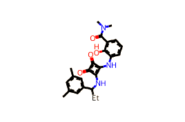 CCC(Nc1c(Nc2cccc(C(=O)N(C)C)c2O)c(=O)c1=O)c1cc(C)cc(C)c1